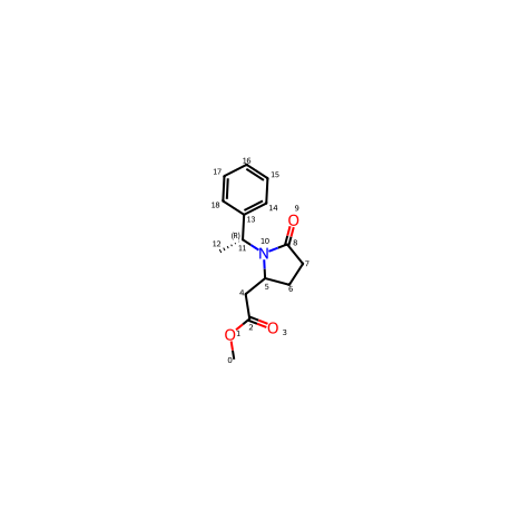 COC(=O)CC1CCC(=O)N1[C@H](C)c1ccccc1